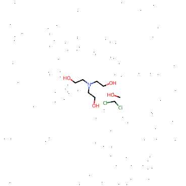 CO.ClCCl.OCCN(CCO)CCO